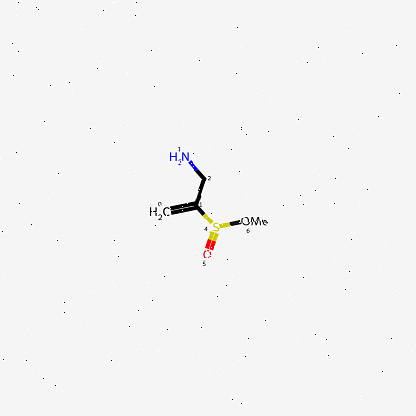 C=C(CN)S(=O)OC